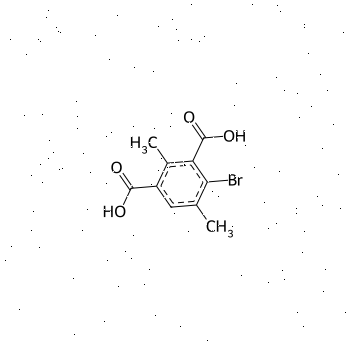 Cc1cc(C(=O)O)c(C)c(C(=O)O)c1Br